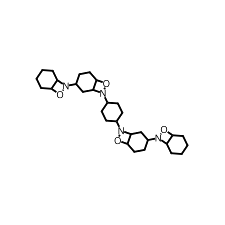 C1CCC2C(C1)ON2C1CCC2ON(C3CCC(N4OC5CCC(N6OC7CCCCC76)CC54)CC3)C2C1